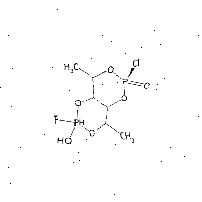 CC1O[PH](O)(F)OC2C(C)O[P@@](=O)(Cl)OC12